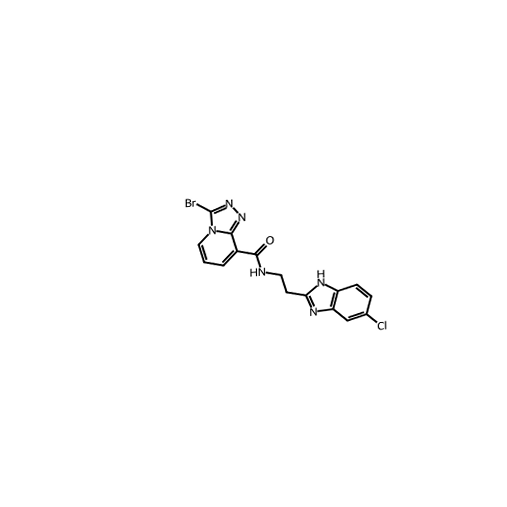 O=C(NCCc1nc2cc(Cl)ccc2[nH]1)c1cccn2c(Br)nnc12